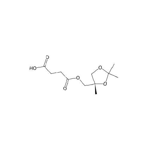 CC1(C)OC[C@@](C)(COC(=O)CCC(=O)O)O1